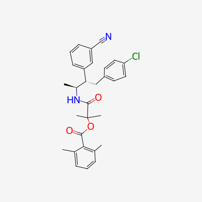 Cc1cccc(C)c1C(=O)OC(C)(C)C(=O)N[C@@H](C)[C@@H](Cc1ccc(Cl)cc1)c1cccc(C#N)c1